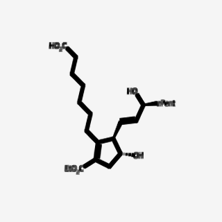 CCCCC[C@H](O)/C=C/[C@@H]1C(CCCCCCC(=O)O)=C(C(=O)OCC)C[C@H]1O